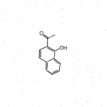 CC(=O)c1ccc2ccccc2c1O